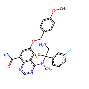 COc1ccc(COc2cc(C(N)=O)c3ncnc(N(C)C(C)(CN)c4cccc(F)c4)c3c2)cc1